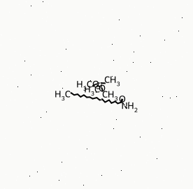 CCCCCCCCCCCCCCCCCC(N)=O.CCC[Si](C)(OCC)OCC